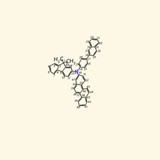 CC1(C)c2ccccc2-c2ccc(N(c3ccc(-c4ccc5ccccc5c4)cc3)c3ccc4c(ccc5c6ccccc6ccc45)c3)cc21